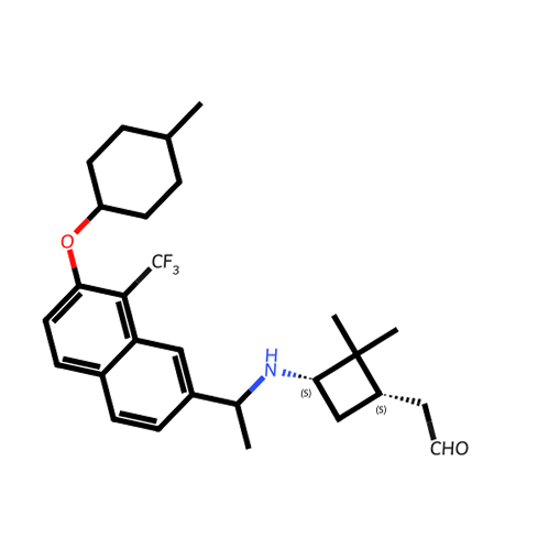 CC1CCC(Oc2ccc3ccc(C(C)N[C@H]4C[C@@H](CC=O)C4(C)C)cc3c2C(F)(F)F)CC1